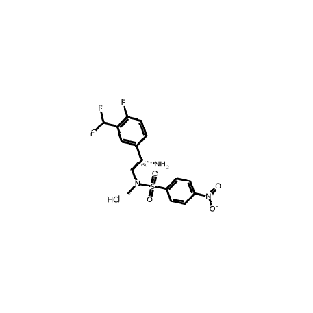 CN(C[C@@H](N)c1ccc(F)c(C(F)F)c1)S(=O)(=O)c1ccc([N+](=O)[O-])cc1.Cl